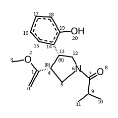 C=C(OC)[C@H]1CN(C(=O)C(C)C)C[C@H]1c1ccccc1O